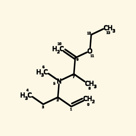 C=CC(CC)N(C)C(C)C(=C)OCC